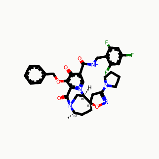 C[C@H]1CC[C@]2(CC(N3CCCC3)=NO2)[C@H]2CN1C(=O)c1c(OCc3ccccc3)c(=O)c(C(=O)NCc3c(F)cc(F)cc3F)cn12